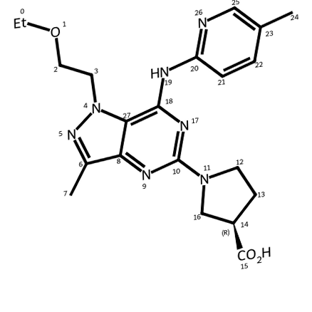 CCOCCn1nc(C)c2nc(N3CC[C@@H](C(=O)O)C3)nc(Nc3ccc(C)cn3)c21